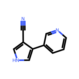 N#Cc1c[nH]cc1-c1cccnc1